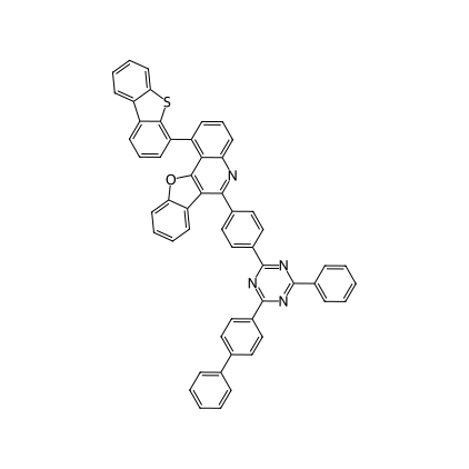 c1ccc(-c2ccc(-c3nc(-c4ccccc4)nc(-c4ccc(-c5nc6cccc(-c7cccc8c7sc7ccccc78)c6c6oc7ccccc7c56)cc4)n3)cc2)cc1